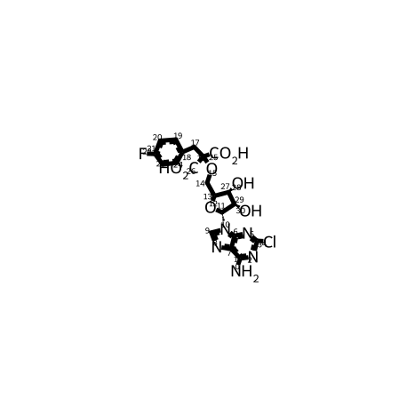 Nc1nc(Cl)nc2c1ncn2[C@@H]1OC(COC(Cc2ccc(F)cc2)(C(=O)O)C(=O)O)[C@@H](O)[C@H]1O